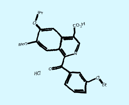 CCOc1cccc(C(=O)c2ncc(C(=O)O)c3cc(OC(C)C)c(OC)cc23)c1.Cl